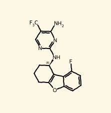 Nc1nc(N[C@@H]2CCCc3oc4cccc(F)c4c32)ncc1C(F)(F)F